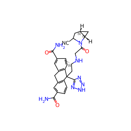 C[C@@H](CC1(c2nn[nH]n2)c2ccc(C(N)=O)cc2Cc2cc(C(N)=O)ccc21)NCC(=O)N1C(C#N)C[C@@H]2C[C@@H]21